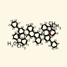 CC1(C)c2ccccc2-c2c(N(c3ccc(-c4ccccc4)cc3F)c3cc4c5ccccc5c(N(c5ccc(-c6ccccc6)cc5F)c5cccc6c5-c5ccccc5C6(C)C)cc4c4ccccc34)cccc21